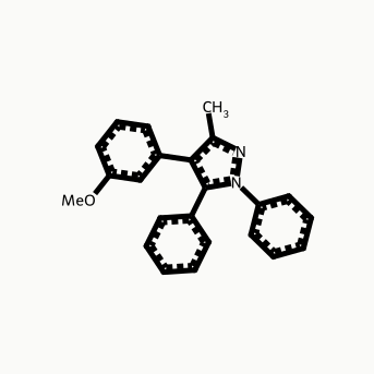 COc1cccc(-c2c(C)nn(-c3ccccc3)c2-c2ccccc2)c1